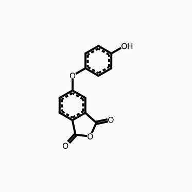 O=C1OC(=O)c2cc(Oc3ccc(O)cc3)ccc21